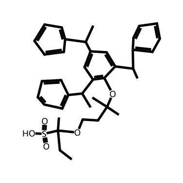 CCC(C)(OCCC(C)(C)Oc1c(C(C)c2ccccc2)cc(C(C)c2ccccc2)cc1C(C)c1ccccc1)S(=O)(=O)O